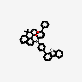 CC1(C)c2ccccc2-c2c(N(c3ccc(-c4ccccc4)cc3)c3ccc(-c4cccc5c4oc4ccccc45)cc3)ccc3cccc1c23